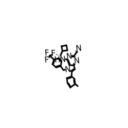 Cc1cccc(-c2cc3nc(C#N)nc(N[C@H](C)C4CCC4)c3n2Cc2ccc(C(F)(F)F)cc2)c1